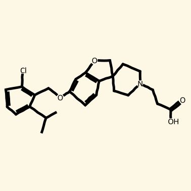 CC(C)c1cccc(Cl)c1COc1ccc2c(c1)OCC21CCN(CCC(=O)O)CC1